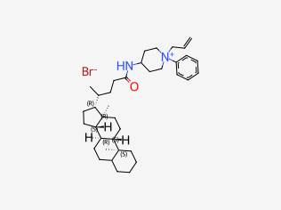 C=CC[N+]1(c2ccccc2)CCC(NC(=O)CCC(C)[C@H]2CC[C@H]3[C@@H]4CCC5CCCC[C@]5(C)[C@H]4CC[C@]23C)CC1.[Br-]